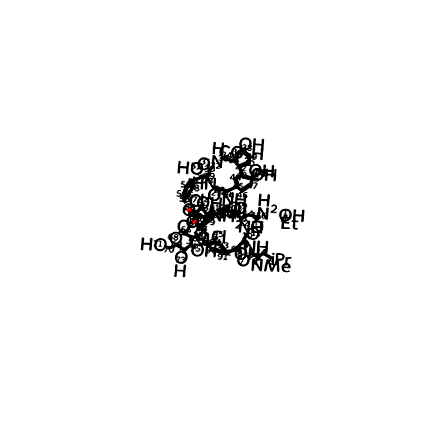 CCO.CNC(CC(C)C)C(=O)NC1C(=O)NC(CC(N)=O)C(=O)NC2C(=O)NC3C(=O)NC(C(=O)NC(C(=O)O)c4cc(O)cc(O)c4-c4cc3ccc4O)C(O)c3ccc(c(Cl)c3)Oc3cc2cc(c3OC2OC(CO)C(O)C(O)C2OC2CC(C)(N)C(O)C(C)O2)Oc2ccc(cc2Cl)C1O